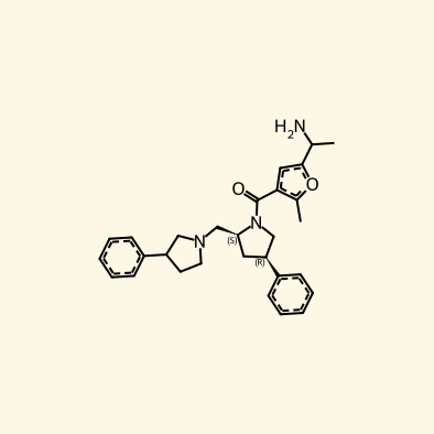 Cc1oc(C(C)N)cc1C(=O)N1C[C@@H](c2ccccc2)C[C@H]1CN1CCC(c2ccccc2)C1